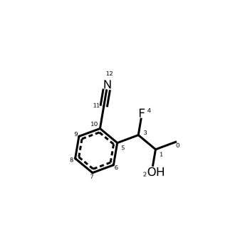 CC(O)C(F)c1ccccc1C#N